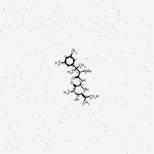 CN[C@@H](C(=O)N[C@H](C(=O)N(C)[C@H](/C=C(\C)C(=O)O)C(C)C)C(C)(C)C)C(C)(C)c1cc(C(F)(F)F)cc(C(F)(F)F)c1